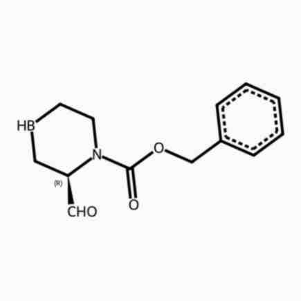 O=C[C@H]1CBCCN1C(=O)OCc1ccccc1